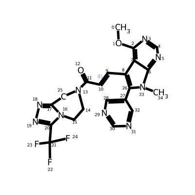 COc1ncnc2c1c(/C=C/C(=O)N1CCn3c(nnc3C(F)(F)F)C1)c(-c1cncnc1)n2C